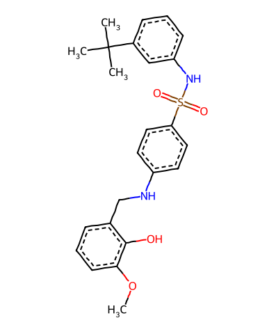 COc1cccc(CNc2ccc(S(=O)(=O)Nc3cccc(C(C)(C)C)c3)cc2)c1O